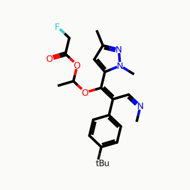 C/N=C\C(=C(\OC(C)OC(=O)CF)c1cc(C)nn1C)c1ccc(C(C)(C)C)cc1